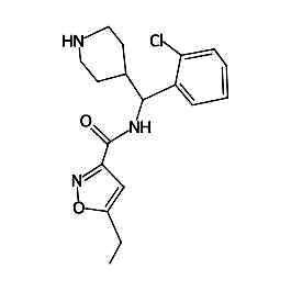 CCc1cc(C(=O)NC(c2ccccc2Cl)C2CCNCC2)no1